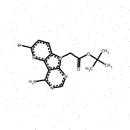 CC(C)(C)OC(=O)Cn1c2ccc(Br)nc2c2c(N)ncnc21